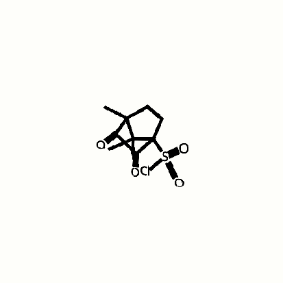 CC12CCC(S(=O)(=O)Cl)(C(=O)C1=O)C2(C)C